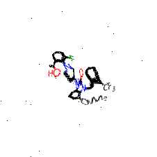 COc1cccc2c1n(Cc1ccccc1C(F)(F)F)c(=O)n2[C@@H]1CCN(c2c(F)cccc2C(C)O)C1